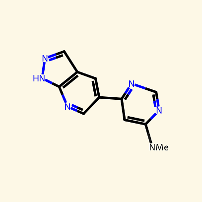 CNc1cc(-c2cnc3[nH]ncc3c2)ncn1